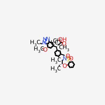 CC[C@@H]1CN(Cc2cc([C@H](c3cc(OC)c4c(nnn4CC)c3C)C(C)(C)C(=O)O)ccc2C)S(=O)(=O)c2ccccc2O1